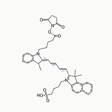 CC1\C(=C/C=C/C=C/C2=[N+](CCCCS(=O)(=O)O)c3ccc4ccccc4c3C2(C)C)N(CCCCC(=O)ON2C(=O)CCC2=O)c2ccccc21